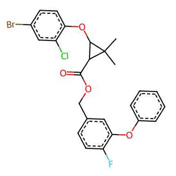 CC1(C)C(Oc2ccc(Br)cc2Cl)C1C(=O)OCc1ccc(F)c(Oc2ccccc2)c1